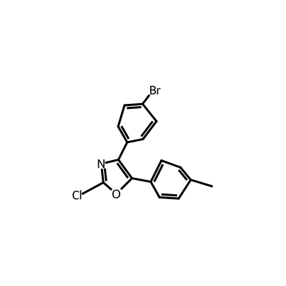 Cc1ccc(-c2oc(Cl)nc2-c2ccc(Br)cc2)cc1